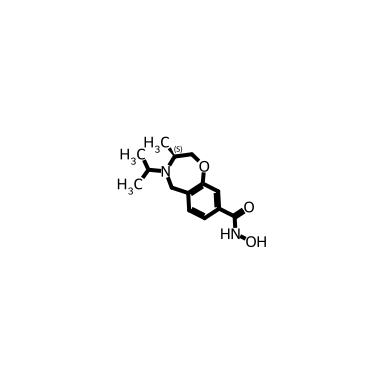 CC(C)N1Cc2ccc(C(=O)NO)cc2OC[C@@H]1C